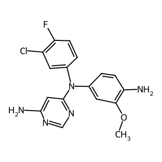 COc1cc(N(c2ccc(F)c(Cl)c2)c2cc(N)ncn2)ccc1N